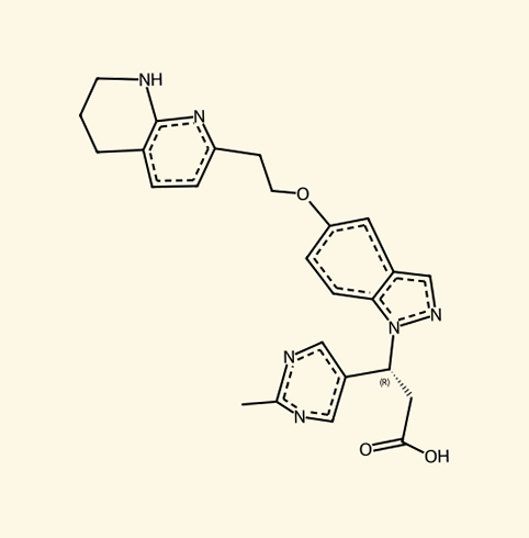 Cc1ncc([C@@H](CC(=O)O)n2ncc3cc(OCCc4ccc5c(n4)NCCC5)ccc32)cn1